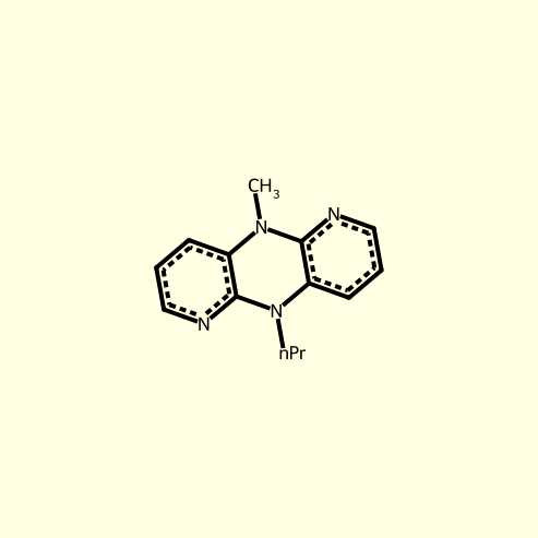 CCCN1c2cccnc2N(C)c2cccnc21